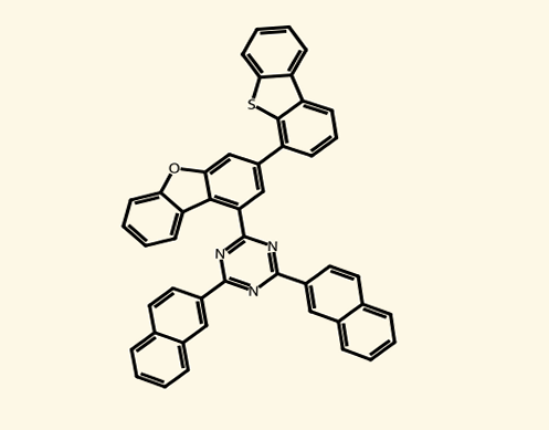 c1ccc2cc(-c3nc(-c4ccc5ccccc5c4)nc(-c4cc(-c5cccc6c5sc5ccccc56)cc5oc6ccccc6c45)n3)ccc2c1